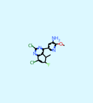 COc1ncc(-c2nc(Cl)nc3c2C(C)C(F)C=C3Cl)cc1N